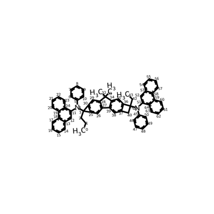 CCCC1(N(c2ccccc2)c2cc3ccccc3c3ccccc23)c2cc3c(cc21)C(C)(C)c1cc2c(cc1-3)CC2(CC)N(c1ccccc1)c1cc2ccccc2c2ccccc12